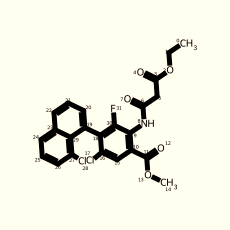 CCOC(=O)CC(=O)Nc1c(C(=O)OC)cc(Cl)c(-c2cccc3cccc(Cl)c23)c1F